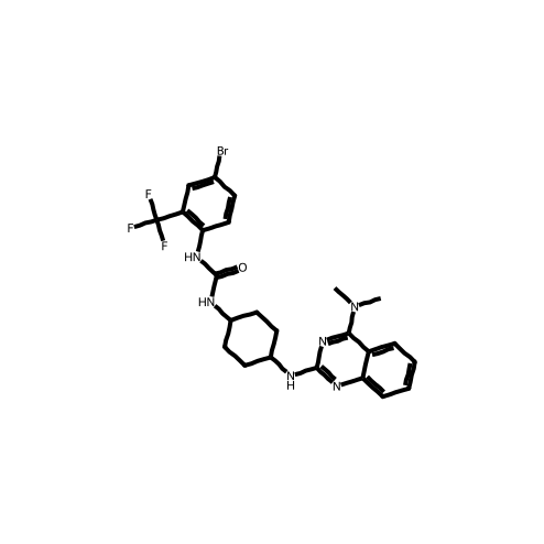 CN(C)c1nc(NC2CCC(NC(=O)Nc3ccc(Br)cc3C(F)(F)F)CC2)nc2ccccc12